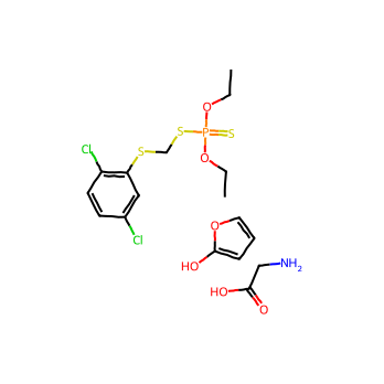 CCOP(=S)(OCC)SCSc1cc(Cl)ccc1Cl.NCC(=O)O.Oc1ccco1